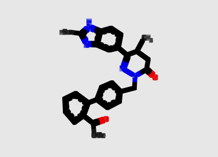 CCCCc1nc2cc(C3=NN(Cc4ccc(-c5ccccc5C(=O)OC)cc4)C(=O)CC3C)ccc2[nH]1